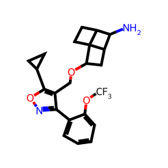 NC1C2CCC23C(OCc2c(-c4ccccc4OC(F)(F)F)noc2C2CC2)CC13